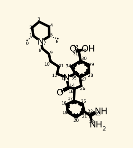 C[C@@H]1CCC[C@H](C)N1CCCCCN1C(=O)C(c2cccc(C(=N)N)c2)Cc2ccc(C(=O)O)cc21